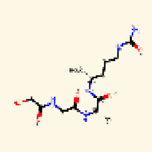 CC(C)[C@H](NC(=O)CNC(=O)CO)C(=O)N[C@@H](CCCNC(N)=O)C(=O)O